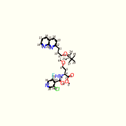 COC(=O)C(CCOC[C@H](CCc1ccc2cccnc2n1)O[Si](C)(C)C(C)(C)C)NC(=O)c1c(F)cncc1Cl